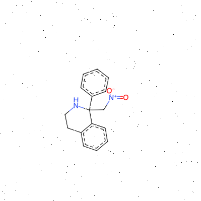 O=[N+]([O-])CC1(c2ccccc2)NCCc2ccccc21